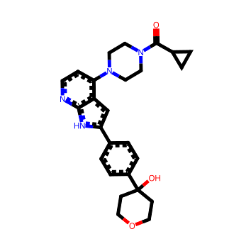 O=C(C1CC1)N1CCN(c2ccnc3[nH]c(-c4ccc(C5(O)CCOCC5)cc4)cc23)CC1